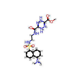 COC(=O)C1=NNC(C(=O)NCCNS(=O)(=O)c2cccc3c(N(C)C)cccc23)=NN1